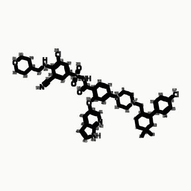 CC1(C)CCC(CN2CCN(c3ccc(C(=O)NS(=O)(=O)c4cc(Cl)c(NCC5CCOCC5)c(C#N)c4)c(Oc4cnc5[nH]ccc5c4)c3)CC2)=C(c2ccc(Cl)cc2)C1